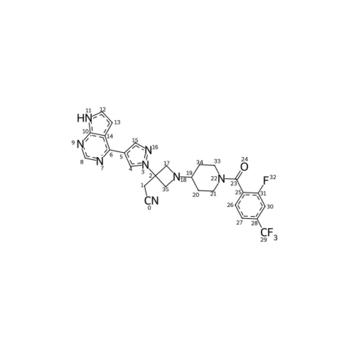 N#CCC1(n2cc(-c3ncnc4[nH]ccc34)cn2)CN(C2CCN(C(=O)c3ccc(C(F)(F)F)cc3F)CC2)C1